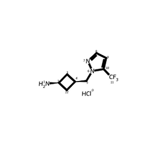 Cl.N[C@H]1C[C@@H](Cn2nccc2C(F)(F)F)C1